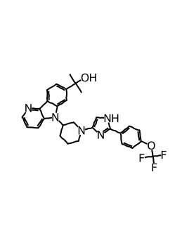 CC(C)(O)c1ccc2c3ncccc3n(C3CCCN(c4c[nH]c(-c5ccc(OC(F)(F)F)cc5)n4)C3)c2c1